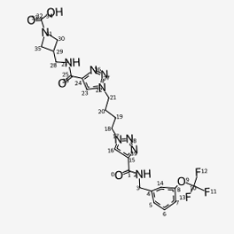 O=C(NCc1cccc(OC(F)(F)F)c1)c1cn(CCCCn2cc(C(=O)NCC3CN(C(=O)O)C3)nn2)nn1